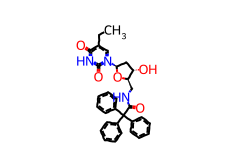 CCc1cn([C@H]2C[C@H](O)[C@@H](CNC(=O)C(c3ccccc3)(c3ccccc3)c3ccccc3)O2)c(=O)[nH]c1=O